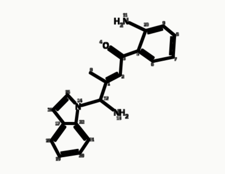 C/C(=C\C(=O)c1ccccc1N)C(N)n1ccc2ccccc21